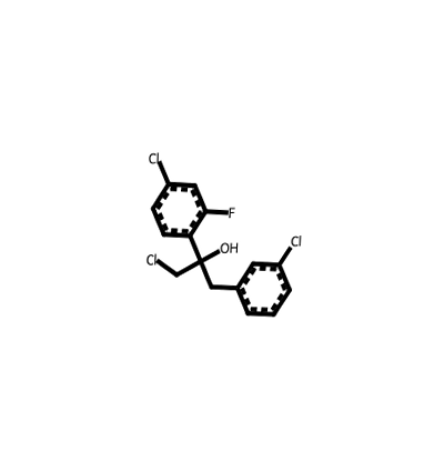 OC(CCl)(Cc1cccc(Cl)c1)c1ccc(Cl)cc1F